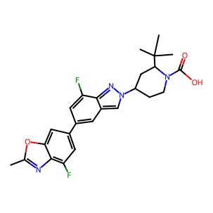 Cc1nc2c(F)cc(-c3cc(F)c4nn(C5CCN(C(=O)O)C(C(C)(C)C)C5)cc4c3)cc2o1